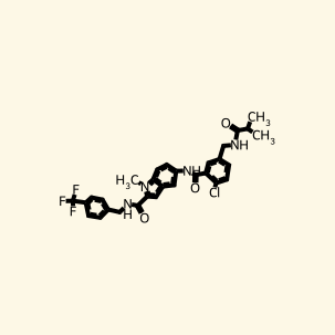 CC(C)C(=O)NCc1ccc(Cl)c(C(=O)Nc2ccc3c(c2)cc(C(=O)NCc2ccc(C(F)(F)F)cc2)n3C)c1